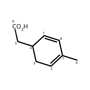 CC1=CCC(CC(=O)O)C=C1